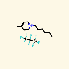 CCCCCC[n+]1ccc(C)cc1.F[B-](F)(F)C(F)(F)C(F)(F)F